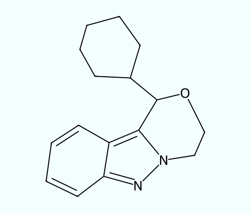 c1ccc2c3n(nc2c1)CCOC3C1CCCCC1